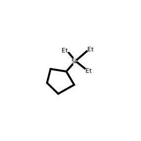 CC[Si](CC)(CC)[C]1CCCC1